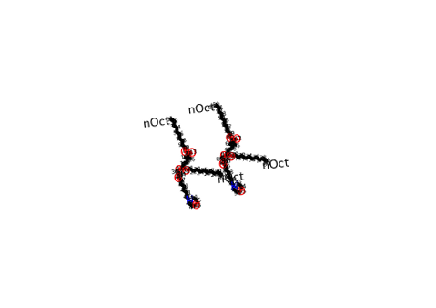 CCCCCCCC/C=C\CCCCCCCCOC(=O)C(C)(C)CCC(OCCCCCCCC/C=C\CCCCCCCC)O[Si](C)(C)OCCCCCCN1CCOCC1.CCCCCCCC/C=C\CCCCCCCCOC(=O)C(C)(C)CCC(OCCCCCCCC/C=C\CCCCCCCC)O[Si](C)(C)OCCCCCCN1CCOCC1